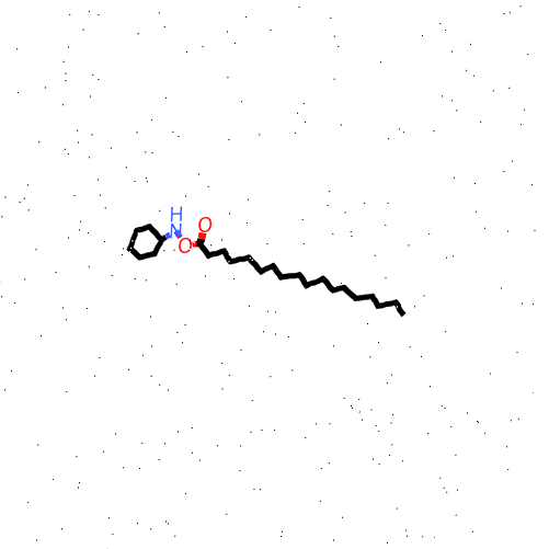 CCCCCCCCCCCCCCCCCC(=O)ONC1CCCCC1